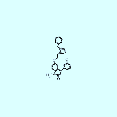 Cn1c(=O)cc(-c2cccc(Cl)c2)c2cc(OCCc3cncn3Cc3ccccc3)ccc21